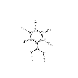 FCN(CF)c1c(F)c(F)c(F)c(F)c1F